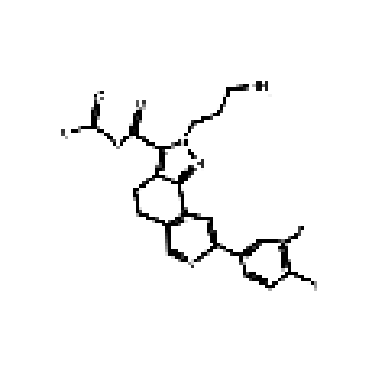 NCCCn1nc2c(c1C(=O)OC(=O)C(F)(F)F)CCc1cnc(-c3ccc(F)c(F)c3)cc1-2